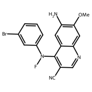 COc1cc2ncc(C#N)c(N(F)c3cccc(Br)c3)c2cc1N